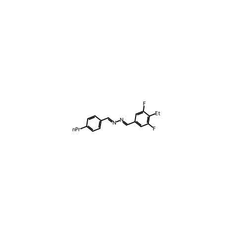 CCCc1ccc(C=NN=Cc2cc(F)c(CC)c(F)c2)cc1